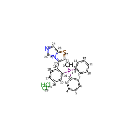 C[P+](c1ccccc1)(c1ccccc1)c1ccccc1-c1csc2cncn12.Cl.[Cl-]